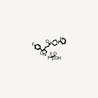 O=C(CCc1cnoc1-c1ccc(F)cc1)N1CCN(c2ccccn2)CC1.O=C(O)C(F)(F)F